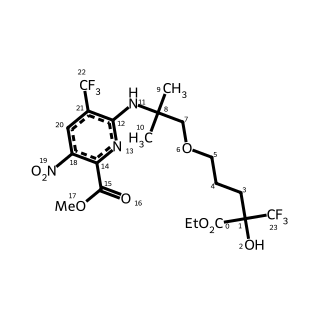 CCOC(=O)C(O)(CCCOCC(C)(C)Nc1nc(C(=O)OC)c([N+](=O)[O-])cc1C(F)(F)F)C(F)(F)F